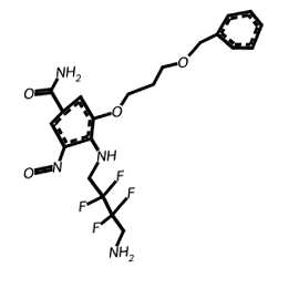 NCC(F)(F)C(F)(F)CNc1c(N=O)cc(C(N)=O)cc1OCCCOCc1ccccc1